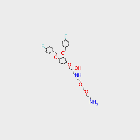 NCCOCCOCCNC[C@@H](O)COc1ccc(OCc2ccc(F)cc2)c(OCc2ccc(F)cc2)c1